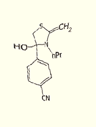 C=C1SCC(O)(c2ccc(C#N)cc2)N1CCC